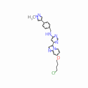 Cn1cc(-c2ccc(CNc3cc(-c4cnc5cc(OCCCCCl)ccn45)ncn3)cc2)cn1